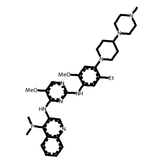 CCc1cc(Nc2ncc(OC)c(Nc3cnc4ccccc4c3P(C)C)n2)c(OC)cc1N1CCC(N2CCN(C)CC2)CC1